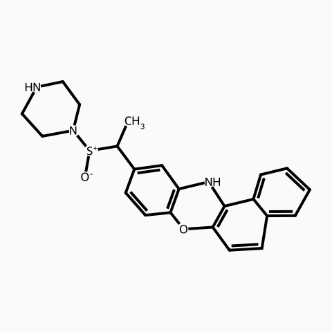 CC(c1ccc2c(c1)Nc1c(ccc3ccccc13)O2)[S+]([O-])N1CCNCC1